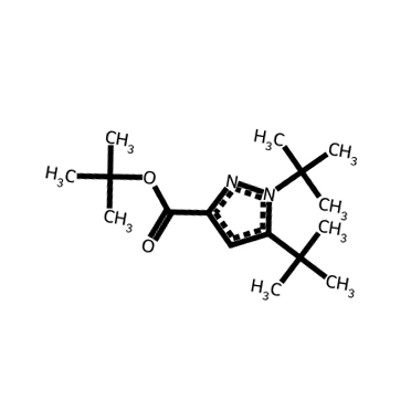 CC(C)(C)OC(=O)c1cc(C(C)(C)C)n(C(C)(C)C)n1